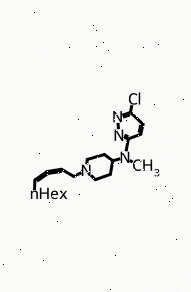 CCCCCCC=C=CCN1CCC(N(C)c2ccc(Cl)nn2)CC1